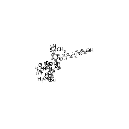 Cc1ncsc1-c1ccc(CNC(=O)[C@@H]2CC(O[Si](C)(C)C(C)(C)C)CN2C(=O)[C@@H](NC(=O)C2(F)CC2)C(C)(C)C)c(OCCCCCCCOCCO)c1